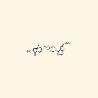 Cc1c(CN2CC3(CCN(c4ncnc5sc(CC(F)(F)F)cc45)CC3)C2)ccc2[nH]c(C#N)cc12